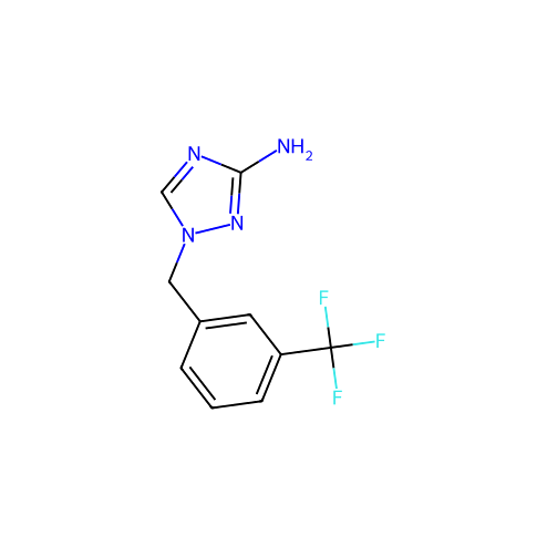 Nc1ncn(Cc2cccc(C(F)(F)F)c2)n1